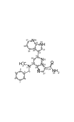 CN(Cc1ccccc1)c1cc(-c2c[nH]c3ncccc23)nn2c(C(N)=O)cnc12